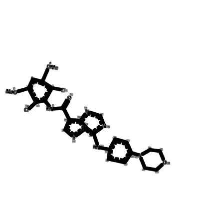 COc1cc(OC)c(Cl)c(NC(=O)c2csc3c(Nc4ccc(N5CCOCC5)cc4)ncnc23)c1Cl